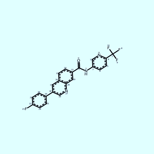 O=C(Nc1ccc(C(F)(F)F)nc1)c1ccc2cc(-c3ccc(F)cc3)cnc2c1